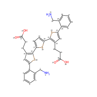 NCc1ccccc1-c1cc(CCC(=O)O)c(-c2ccc(-c3sc(-c4ccccc4CN)cc3CCC(=O)O)s2)s1